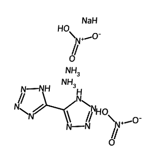 N.N.O=[N+]([O-])O.O=[N+]([O-])O.[NaH].n1n[nH]c(-c2nnn[nH]2)n1